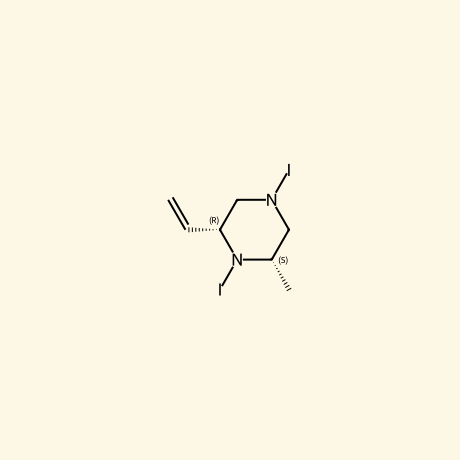 C=C[C@@H]1CN(I)C[C@H](C)N1I